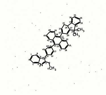 CCc1nc2ccccc2n1-c1ccc(-c2c3ccccc3c(C3=CCC4C(=C3)C(C)(C)c3ccccc34)c3ccccc23)cc1